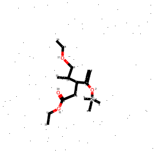 C=C(O[Si](C)(C)C)C(CC(=O)OCC)C(C)COCC